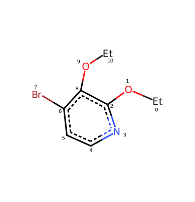 CCOc1nccc(Br)c1OCC